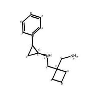 NCC1(CN[C@H]2CC2c2ccccc2)CCC1